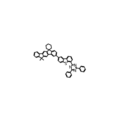 CC1(C)c2ccccc2-c2cc3c(cc21)-c1cc(-c2ccc4sc5c(-c6nc(-c7ccccc7)nc(-c7ccccc7)n6)cccc5c4c2)ccc1C31CCCCC1